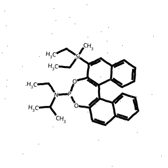 CCN(C(C)C)p1oc2ccc3ccccc3c2c2c(o1)c([Si](C)(CC)CC)cc1ccccc12